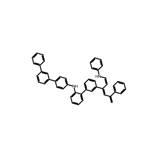 C=C(/C=C(\C=C/Nc1ccccc1)c1cccc(-c2ccccc2Nc2ccc(-c3cccc(-c4ccccc4)c3)cc2)c1)c1ccccc1